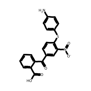 Nc1ccc(Sc2ccc(C(=O)c3ccccc3C(=O)O)cc2[N+](=O)[O-])cc1